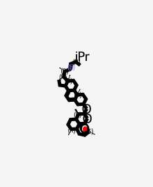 CC(C)[C@@H](C)/C=C/[C@@H](C)[C@H]1CCC2C3=CC=C4CC(OC5OC6O[C@]7(C)CCC8[C@H](C)CCC([C@H]5C)C68OO7)CC[C@]4(C)C3CC[C@@]21C